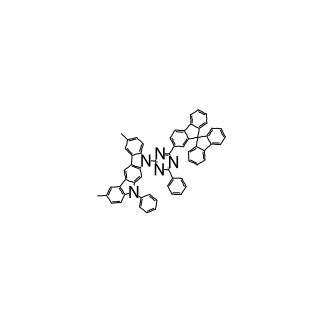 Cc1ccc2c(c1)c1cc3c4cc(C)ccc4n(-c4nc(-c5ccccc5)nc(-c5ccc6c(c5)C5(c7ccccc7-c7ccccc75)c5ccccc5-6)n4)c3cc1n2-c1ccccc1